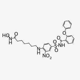 O=C(CCCCCCNc1ccc(S(=O)(=O)NC(=O)c2ccccc2Oc2ccccc2)cc1[N+](=O)[O-])NO